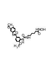 COc1ccc2oc(-c3ccc(OC)c(NC(=O)NCCCCCC(=O)NO)c3)nc2c1